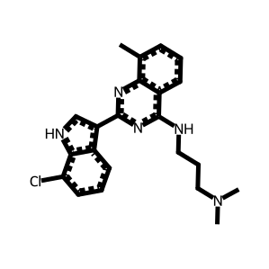 Cc1cccc2c(NCCCN(C)C)nc(-c3c[nH]c4c(Cl)cccc34)nc12